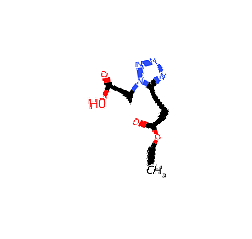 CCOC(=O)Cc1nnnn1CC(=O)O